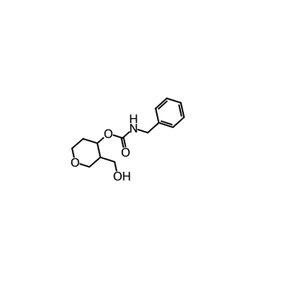 O=C(NCc1ccccc1)OC1CCOCC1CO